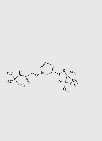 CC(C)(C)NC(=O)COc1cccc(B2OC(C)(C)C(C)(C)O2)c1